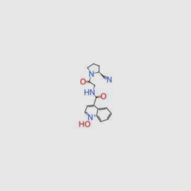 N#C[C@@H]1CCCN1C(=O)CNC(=O)c1cc[n+](O)c2ccccc12